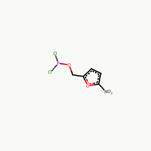 O=[N+]([O-])c1ccc(COP(Cl)Cl)o1